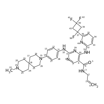 C=CCNC(=O)c1cnc(Nc2ccc(N3CCC4(CCN(C)CC4)CC3)cc2)nc1Nc1cccc(C2(F)CC(F)(F)C2)n1